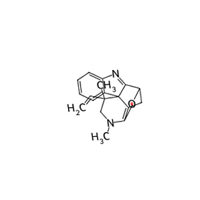 C=CC1(C)CN(C)C2=C3CC(OC2)C2=Nc4ccccc4C231